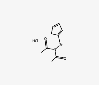 CC(=O)[N]([Zr][C]1=CC=CC1)C(C)=O.Cl